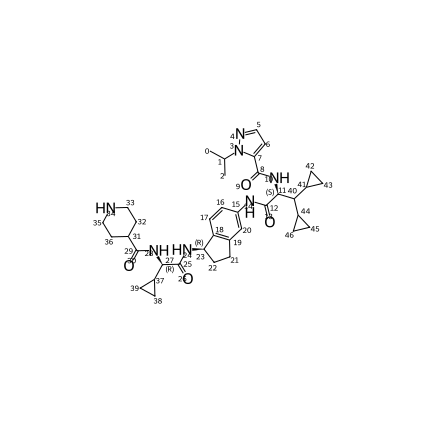 CC(C)n1nccc1C(=O)N[C@H](C(=O)Nc1ccc2c(c1)CC[C@H]2NC(=O)[C@H](NC(=O)C1CCNCC1)C1CC1)C(C1CC1)C1CC1